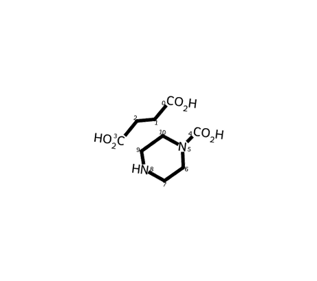 O=C(O)CCC(=O)O.O=C(O)N1CCNCC1